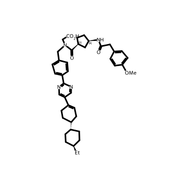 CC[C@H]1CC[C@H](C2CC=C(c3cnc(-c4ccc(CN(CC(=O)O)C(=O)[C@H]5CC[C@@H](NC(=O)Cc6ccc(OC)cc6)C5)cc4)nc3)CC2)CC1